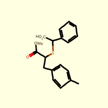 COC(=O)C(Cc1ccc(C)cc1)SC(C(=O)O)c1ccccc1